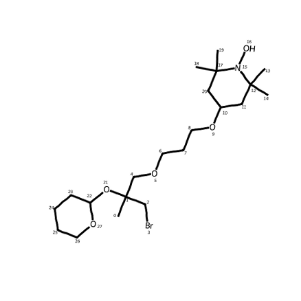 CC(CBr)(COCCCOC1CC(C)(C)N(O)C(C)(C)C1)OC1CCCCO1